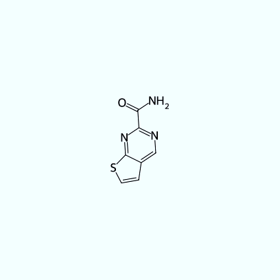 NC(=O)c1ncc2ccsc2n1